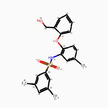 O=S(=O)(Nc1cc(C(F)(F)F)ccc1Oc1ccccc1CO)c1cc(C(F)(F)F)cc(C(F)(F)F)c1